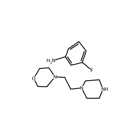 C1CN(CCN2CCOCC2)CCN1.Nc1cccc(F)c1